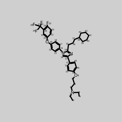 CCN(CC)CCCOc1ccc(-c2cn(-c3ccc(Oc4ccc(F)c(C(F)(F)F)c4)cc3)c(CCCC3CCCCC3)n2)cc1